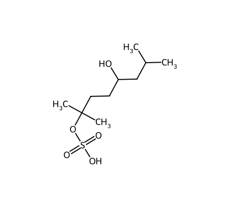 CC(C)CC(O)CCC(C)(C)OS(=O)(=O)O